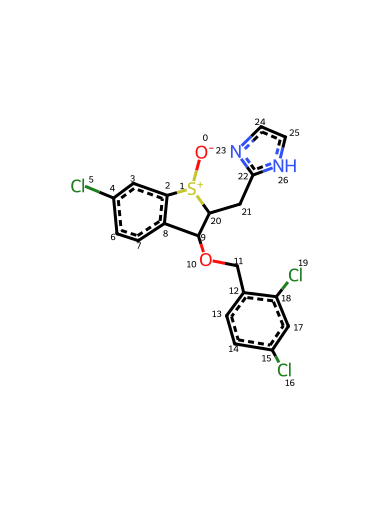 [O-][S+]1c2cc(Cl)ccc2C(OCc2ccc(Cl)cc2Cl)C1Cc1ncc[nH]1